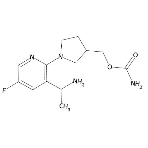 CC(N)c1cc(F)cnc1N1CCC(COC(N)=O)C1